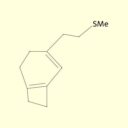 CSCCC1=CC2=C(CC1)CC2